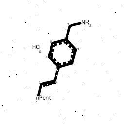 CCCCCC=Cc1ccc(CN)cc1.Cl